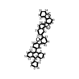 c1ccc(-c2c3ccccc3c(-c3ccc4oc5c(-c6ccc7ccc8c(oc9ccc%10sc%11ccccc%11c%10c98)c7c6)cccc5c4c3)c3ccccc23)cc1